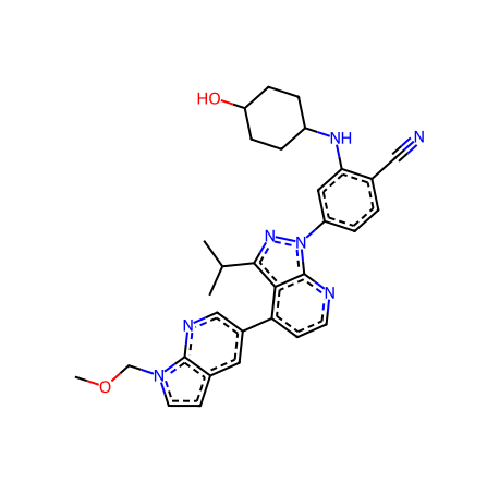 COCn1ccc2cc(-c3ccnc4c3c(C(C)C)nn4-c3ccc(C#N)c(NC4CCC(O)CC4)c3)cnc21